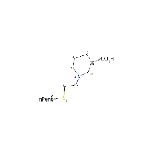 CCCCCSCCN1CCCC(C(=O)O)C1